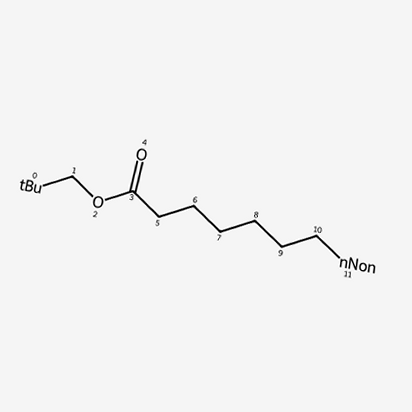 [CH2]C(C)(C)COC(=O)CCCCCCCCCCCCCCC